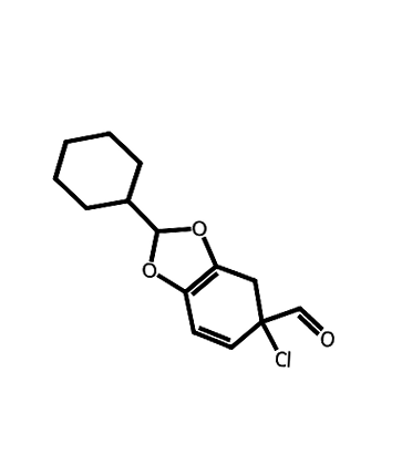 O=CC1(Cl)C=CC2=C(C1)OC(C1CCCCC1)O2